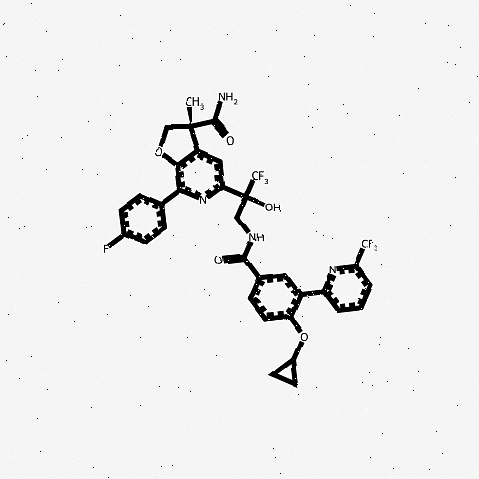 C[C@]1(C(N)=O)COc2c1cc(C(O)(CNC(=O)c1ccc(OC3CC3)c(-c3cccc(C(F)(F)F)n3)c1)C(F)(F)F)nc2-c1ccc(F)cc1